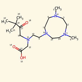 CN1CCN(C)CCN(CCN(CC(=O)O)CC(=O)C(C)(C)C)CC1